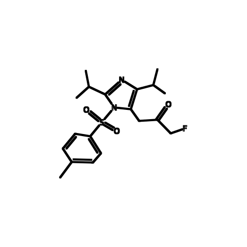 Cc1ccc(S(=O)(=O)n2c(C(C)C)nc(C(C)C)c2CC(=O)CF)cc1